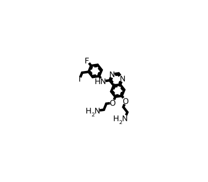 NCCOc1cc2ncnc(Nc3ccc(F)c(CI)c3)c2cc1OCCN